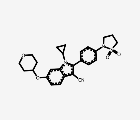 N#Cc1c(-c2ccc(N3CCCS3(=O)=O)cc2)n(C2CC2)c2cc(OC3CCOCC3)ccc12